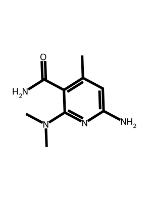 Cc1cc(N)nc(N(C)C)c1C(N)=O